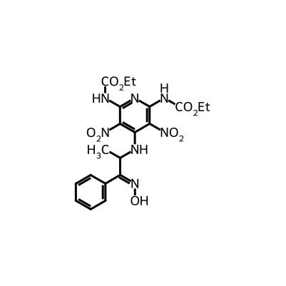 CCOC(=O)Nc1nc(NC(=O)OCC)c([N+](=O)[O-])c(NC(C)C(=NO)c2ccccc2)c1[N+](=O)[O-]